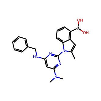 Cc1cc2c(B(O)O)cccc2n1-c1nc(NCc2ccccc2)cc(N(C)C)n1